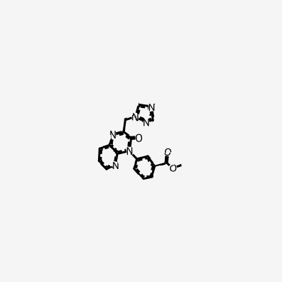 COC(=O)c1cccc(-n2c(=O)c(Cn3cncn3)nc3cccnc32)c1